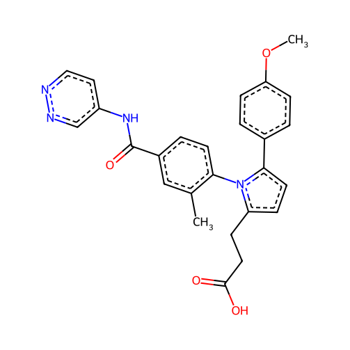 COc1ccc(-c2ccc(CCC(=O)O)n2-c2ccc(C(=O)Nc3ccnnc3)cc2C)cc1